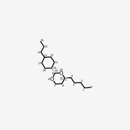 CCCCC[C@H]1CCO[C@H](C2CCC(CCC)CC2)O1